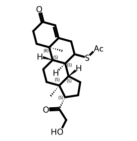 CC(=O)SC1CC2=CC(=O)CC[C@]2(C)[C@H]2CC[C@]3(C)[C@@H](C(=O)CO)CC[C@H]3[C@H]12